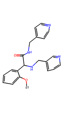 CCOc1ccccc1C(NCc1cccnc1)C(=O)NCc1ccncc1